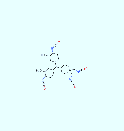 CC1CC(C(C2CCC(CN=C=O)(CN=C=O)CC2)C2CCC(N=C=O)C(C)C2)CCC1N=C=O